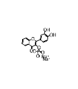 O=c1c(OP(=O)([O-])[O-])c(-c2ccc(O)c(O)c2)oc2ccccc12.[Na+].[Na+]